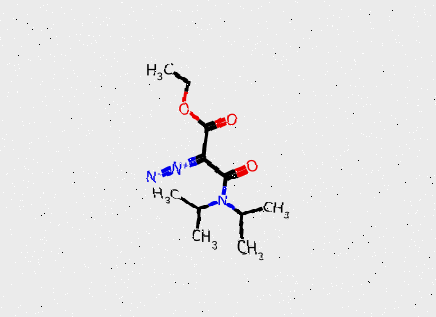 CCOC(=O)C(=[N+]=[N-])C(=O)N(C(C)C)C(C)C